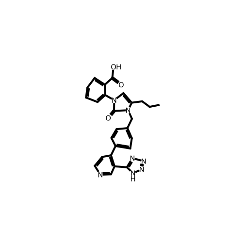 CCCc1cn(-c2ccccc2C(=O)O)c(=O)n1Cc1ccc(-c2ccncc2-c2nnn[nH]2)cc1